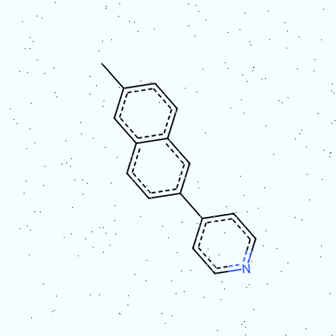 Cc1ccc2cc(-c3ccncc3)ccc2c1